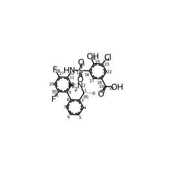 C[C@@H](N)c1ccccc1-c1cc(NS(=O)(=O)c2cc(C(=O)O)cc(Cl)c2O)c(F)cc1F